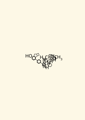 COC(=O)N[C@H](C(=O)N1[C@@H]2CC[C@@H](C2)[C@H]1c1ncc(-c2ccc(-c3ccc(O)c4c3C3CCC3C4)cc2)[nH]1)C(C)C